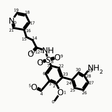 COc1c(C=O)cc(S(=O)(=O)NC(=O)CCc2cccnc2)cc1-c1cccc(N)c1